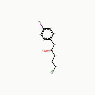 O=C(CCCCl)Cc1ccc(I)cc1